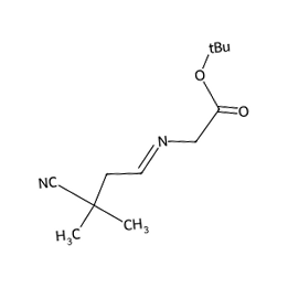 CC(C)(C#N)CC=NCC(=O)OC(C)(C)C